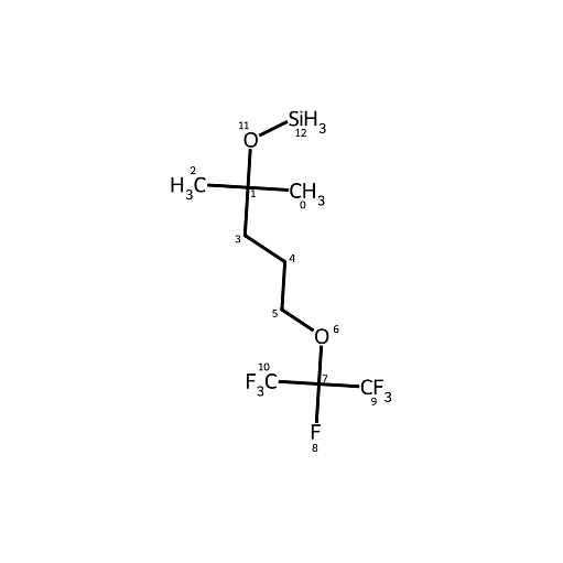 CC(C)(CCCOC(F)(C(F)(F)F)C(F)(F)F)O[SiH3]